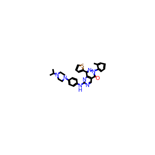 Cc1ccccc1-n1nc(-c2cccs2)c2nc(Nc3ccc(N4CCN(C(C)C)CC4)cc3)ncc2c1=O